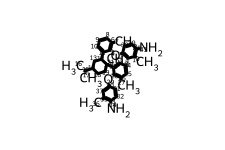 Cc1cc(Oc2c(C)cccc2C2CC(C(C)C)CCC2(C)c2cccc(C)c2Oc2ccc(N)c(C)c2)ccc1N